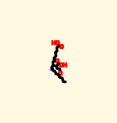 CCCCCCC/C=C\C(CCCCCCCC(=O)O)C(CC=O)C(=O)O